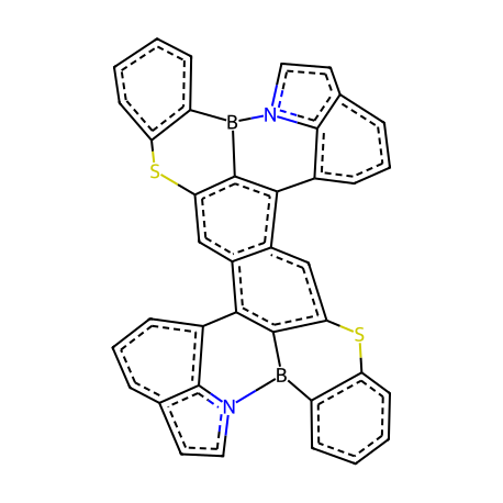 c1ccc2c(c1)Sc1cc3c4c5c(cc3c3c1B2n1ccc2cccc-3c21)Sc1ccccc1B5n1ccc2cccc-4c21